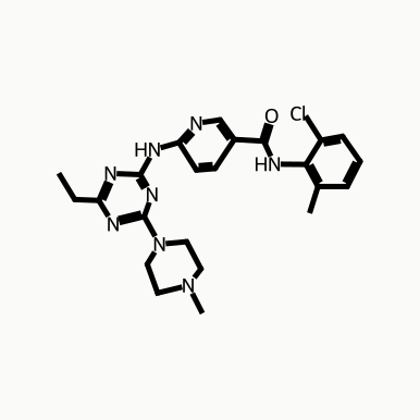 CCc1nc(Nc2ccc(C(=O)Nc3c(C)cccc3Cl)cn2)nc(N2CCN(C)CC2)n1